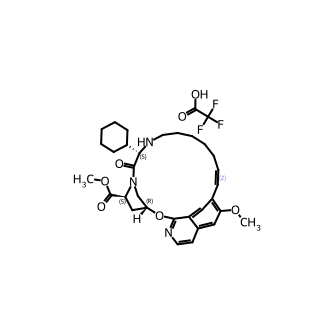 COC(=O)[C@@H]1C[C@@H]2CN1C(=O)[C@H](C1CCCCC1)NCCCCC/C=C\c1cc3c(nccc3cc1OC)O2.O=C(O)C(F)(F)F